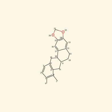 Cc1ccc2c(c1C)CC1CCc3cc4c(cc3C1C2)OCO4